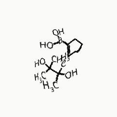 CC(C)(O)C(C)(C)O.OB(O)C1=CCCC1